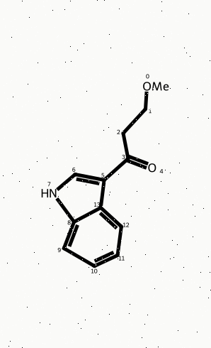 COCCC(=O)c1c[nH]c2ccccc12